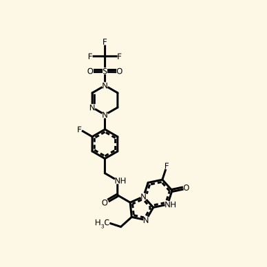 CCc1nc2[nH]c(=O)c(F)cn2c1C(=O)NCc1ccc(N2CCN(S(=O)(=O)C(F)(F)F)C=N2)c(F)c1